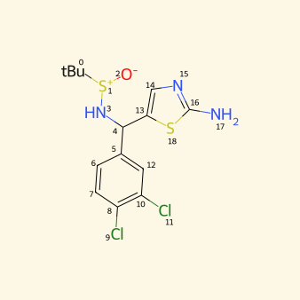 CC(C)(C)[S+]([O-])NC(c1ccc(Cl)c(Cl)c1)c1cnc(N)s1